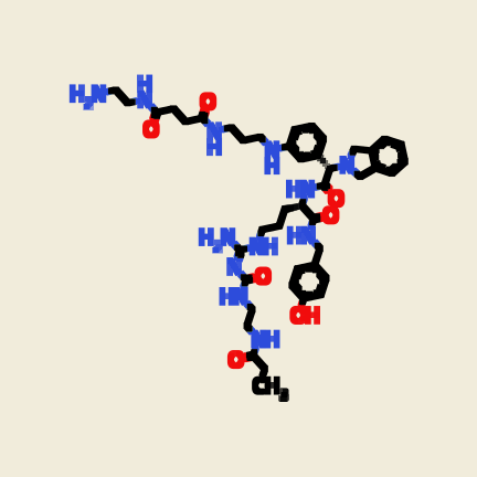 CCC(=O)NCCNC(=O)/N=C(/N)NCCC[C@@H](NC(=O)[C@H](c1cccc(NCCCNC(=O)CCC(=O)NCCN)c1)N1Cc2ccccc2C1)C(=O)NCc1ccc(O)cc1